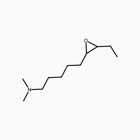 CCC1OC1CCCCCN(C)C